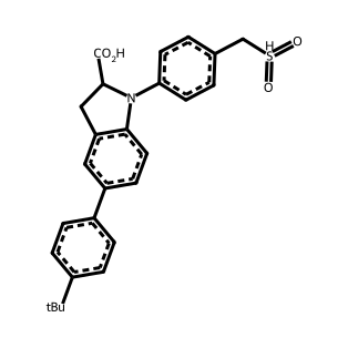 CC(C)(C)c1ccc(-c2ccc3c(c2)CC(C(=O)O)N3c2ccc(C[SH](=O)=O)cc2)cc1